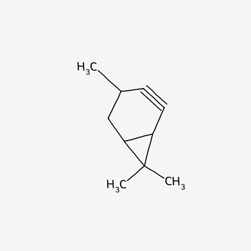 CC1C#CC2C(C1)C2(C)C